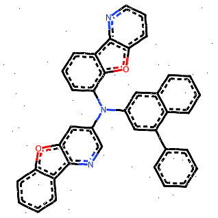 c1ccc(-c2cc(N(c3cnc4c(c3)oc3ccccc34)c3cccc4c3oc3cccnc34)cc3ccccc23)cc1